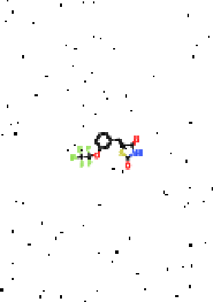 O=C1NC(=O)C(=Cc2cccc(OC(F)(F)C(F)(F)F)c2)S1